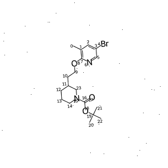 Cc1cc(Br)cnc1OCCC1CCCN(C(=O)OC(C)(C)C)C1